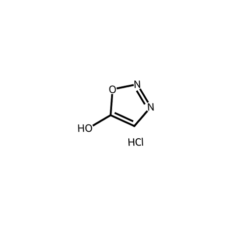 Cl.Oc1cnno1